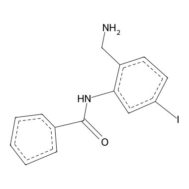 NCc1ccc(I)cc1NC(=O)c1ccccc1